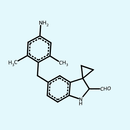 Cc1cc(N)cc(C)c1Cc1ccc2c(c1)C1(CC1)C(C=O)N2